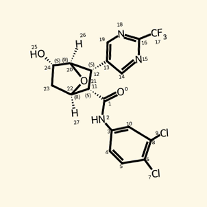 O=C(Nc1ccc(Cl)c(Cl)c1)[C@H]1[C@@H](c2cnc(C(F)(F)F)nc2)[C@H]2O[C@@H]1C[C@@H]2O